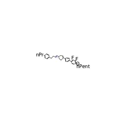 CCCCCOc1ccc(-c2ccc(C3=CCC(/C=C/CCc4ccc(CCC)cc4)CC3)cc2)c(F)c1F